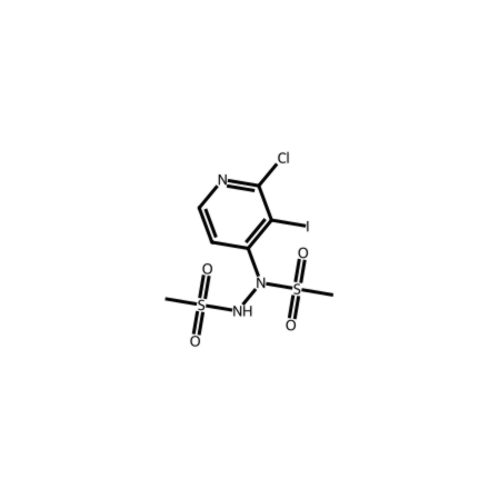 CS(=O)(=O)NN(c1ccnc(Cl)c1I)S(C)(=O)=O